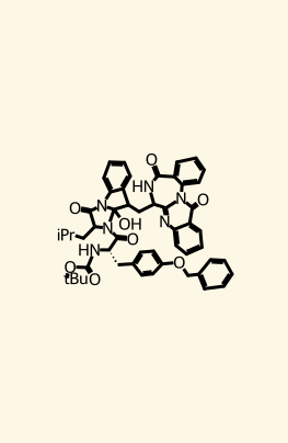 CC(C)CC1C(=O)N2c3ccccc3C(CC3NC(=O)c4ccccc4-n4c3nc3ccccc3c4=O)C2(O)N1C(=O)[C@H](Cc1ccc(OCc2ccccc2)cc1)NC(=O)OC(C)(C)C